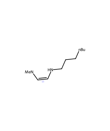 CCCCCCCN/C=C\NC